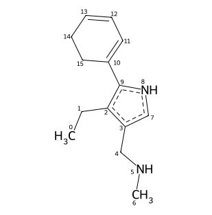 CCc1c(CNC)c[nH]c1C1=CC=CCC1